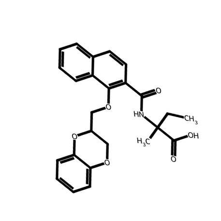 CCC(C)(NC(=O)c1ccc2ccccc2c1OCC1COc2ccccc2O1)C(=O)O